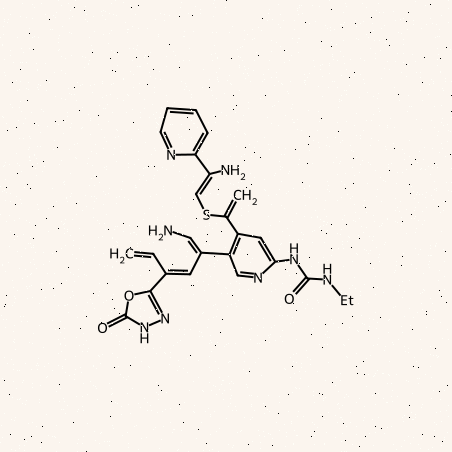 C=C/C(=C\C(=C/N)c1cnc(NC(=O)NCC)cc1C(=C)S/C=C(\N)c1ccccn1)c1n[nH]c(=O)o1